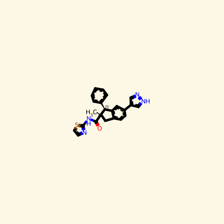 C[C@@]1(C(=O)Nc2nccs2)Cc2ccc(-c3cn[nH]c3)cc2[C@@H]1c1ccccc1